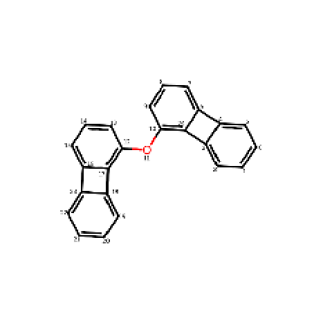 c1ccc2c(c1)-c1cccc(Oc3cccc4c3-c3ccccc3-4)c1-2